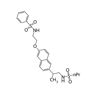 CCCS(=O)(=O)NCC(C)c1ccc2cc(OCCNS(=O)(=O)c3ccccc3)ccc2c1